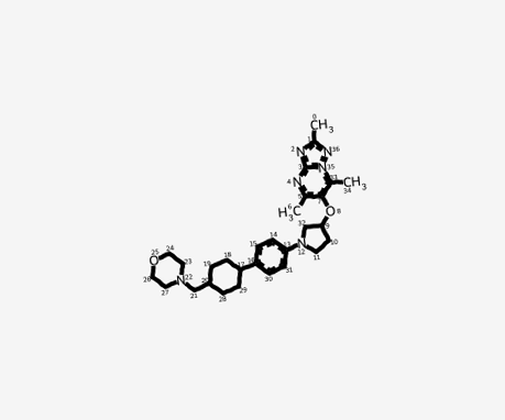 Cc1nc2nc(C)c(OC3CCN(c4ccc(C5CCC(CN6CCOCC6)CC5)cc4)C3)c(C)n2n1